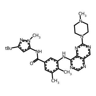 Cc1cc(C(=O)Nc2cc(C(C)(C)C)nn2C)cc(Nc2ncnc3cnc(N4CCN(C)CC4)nc23)c1C